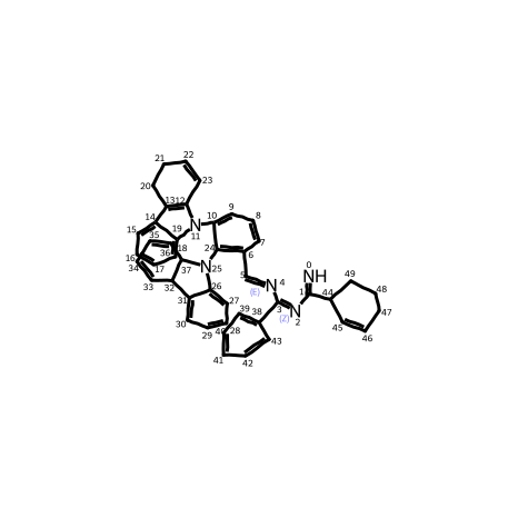 N=C(/N=C(\N=C\c1cccc(-n2c3c(c4ccccc42)CCC=C3)c1N1c2ccccc2C2C=CC=CC21)c1ccccc1)C1C=CCCC1